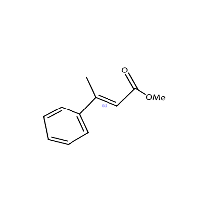 COC(=O)/C=C(\C)c1ccccc1